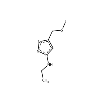 CCNn1cc(CSI)nn1